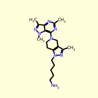 Cc1nc(N2CCc3c(c(C)nn3CCCCCN)C2)c2c(n1)c(C)nn2C